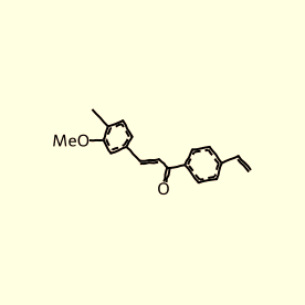 C=Cc1ccc(C(=O)C=Cc2ccc(C)c(OC)c2)cc1